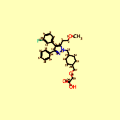 COCCc1c(-c2cccc(F)c2)c(-c2ccccc2)nn1CC1CCC(COCC(=O)O)CC1